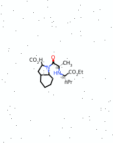 CCC[C@H](N[C@@H](C)C(=O)N1C(C(=O)O)CC2CCCCC21)C(=O)OCC